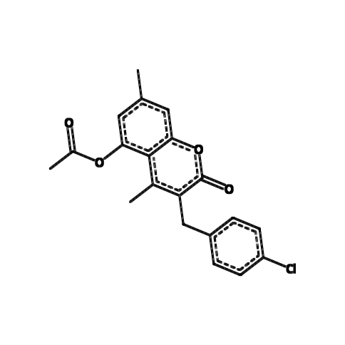 CC(=O)Oc1cc(C)cc2oc(=O)c(Cc3ccc(Cl)cc3)c(C)c12